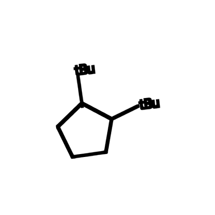 CC(C)(C)[C]1CCCC1C(C)(C)C